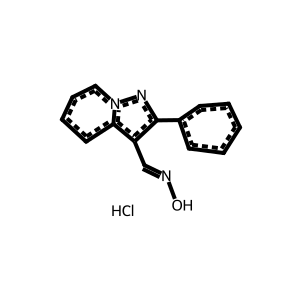 Cl.O/N=C/c1c(-c2ccccc2)nn2ccccc12